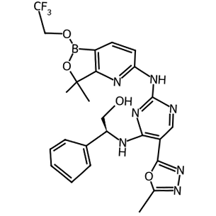 Cc1nnc(-c2cnc(Nc3ccc4c(n3)C(C)(C)OB4OCC(F)(F)F)nc2N[C@H](CO)c2ccccc2)o1